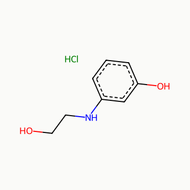 Cl.OCCNc1cccc(O)c1